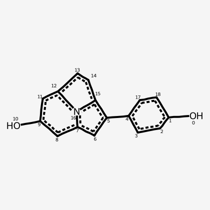 Oc1ccc(-c2cc3cc(O)cc4ccc2n43)cc1